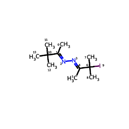 C/C(=N\N=C(/C)C(C)(C)I)C(C)(C)C